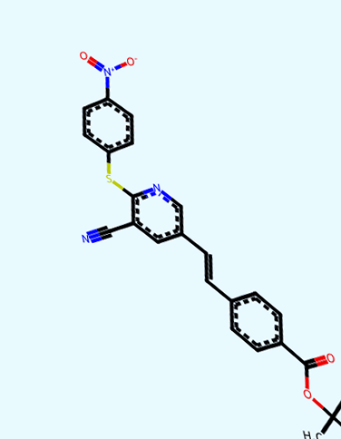 CC(C)(C)OC(=O)c1ccc(/C=C/c2cnc(Sc3ccc([N+](=O)[O-])cc3)c(C#N)c2)cc1